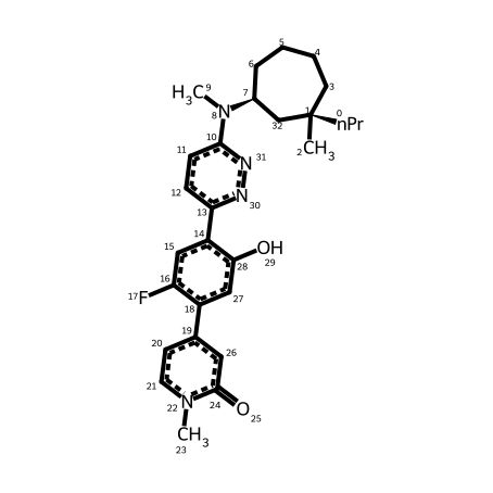 CCC[C@]1(C)CCCC[C@H](N(C)c2ccc(-c3cc(F)c(-c4ccn(C)c(=O)c4)cc3O)nn2)C1